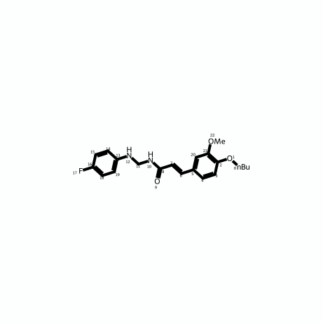 CCCCOc1ccc(C=CC(=O)NCNc2ccc(F)cc2)cc1OC